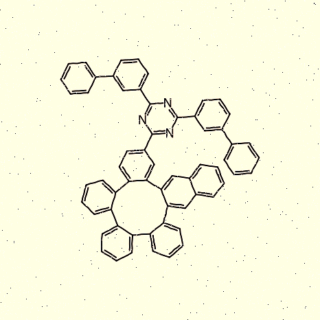 c1ccc(-c2cccc(-c3nc(-c4cccc(-c5ccccc5)c4)nc(-c4ccc5c6ccccc6c6ccccc6c6ccccc6c6cc7ccccc7cc6c5c4)n3)c2)cc1